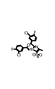 Cc1nc(C(OC(C)c2ccc(F)c(Cl)c2)c2ccc(F)c(Cl)c2)[nH]c1S(C)(=O)=O